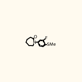 CSc1ccc(N2CCCCCC2=O)cc1F